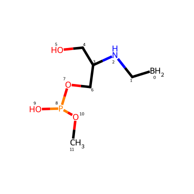 BCNC(CO)COP(O)OC